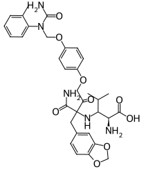 Cc1ccccc1N(COc1ccc(OCC(=O)C(Cc2ccc3c(c2)OCO3)(NC(C(C)C)[C@H](N)C(=O)O)C(N)=O)cc1)C(N)=O